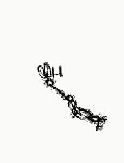 CC(C)(C)OC(=O)N(CC1CCN(CCCc2ccc(C(=O)O)cc2)CC1)C1CC1c1ccc(F)c(F)c1